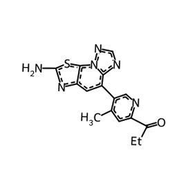 CCC(=O)c1cc(C)c(-c2cc3nc(N)sc3n3ncnc23)cn1